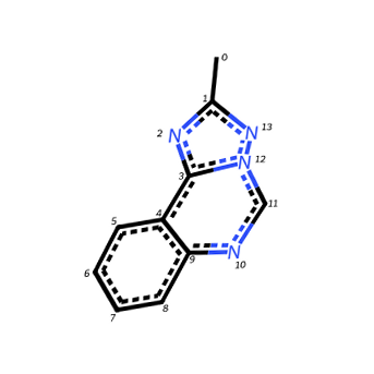 Cc1nc2c3ccccc3ncn2n1